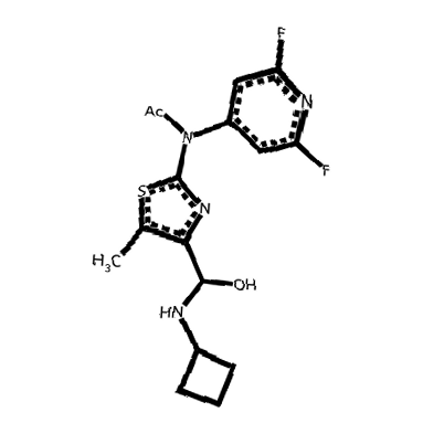 CC(=O)N(c1cc(F)nc(F)c1)c1nc(C(O)NC2CCC2)c(C)s1